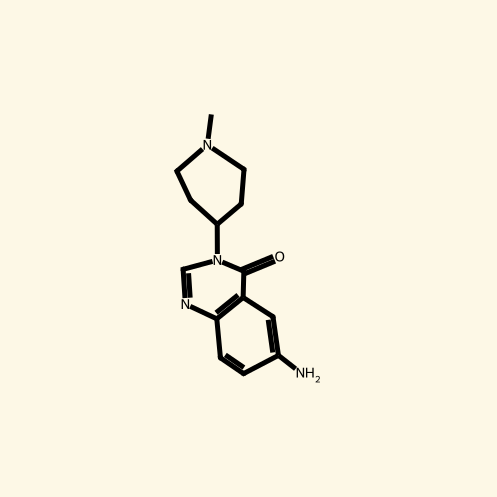 CN1CCC(n2cnc3ccc(N)cc3c2=O)CC1